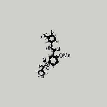 COc1ccc(S(=O)(=O)NC2CCOC2)cc1C(=O)Nc1ccc(F)c(Cl)c1